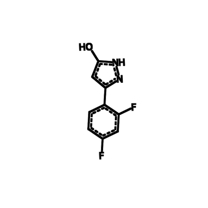 Oc1cc(-c2ccc(F)cc2F)n[nH]1